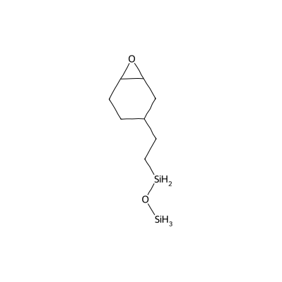 [SiH3]O[SiH2]CCC1CCC2OC2C1